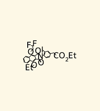 CCOC(=O)Cc1ccc(N2C(=O)c3c(c(OCC(F)F)c4ccccc4c3OCC)C2=O)c(I)c1